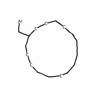 CC(=O)CC1CCCCCCCCCCCCCCC1